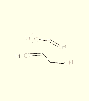 C=C[CH]O.[CH2]C=C